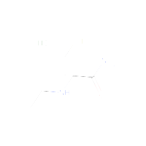 CCN[C@H](CS)C(N)=O.Cl